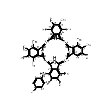 Fc1ccc(Nc2c(F)c(F)c(F)c3c4nc5nc(nc6c7c(F)c(F)c(F)c(F)c7c(nc7nc(nc([nH]4)c23)-c2c(F)c(F)c(F)c(F)c2-7)n6F)-c2c-5cc(F)c(F)c2F)cc1